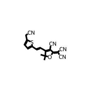 CC1(C)OC(=C(C#N)C#N)C(C#N)=C1/C=C/c1ccc(CC#N)s1